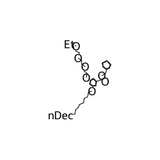 CCCCCCCCCCCCCCCCCCOc1cc(OCCOCCOCCOCC)cc(C(=O)OCc2ccccc2)c1